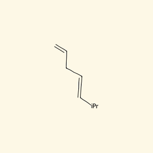 C=CCC=CC(C)C